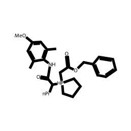 CCCC(C(=O)Nc1c(C)cc(OC)cc1C)[PH]1(CC(=O)OCc2ccccc2)CCCC1